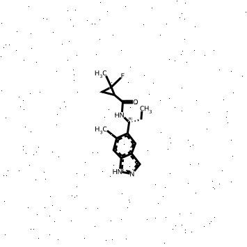 CC[C@@H](NC(=O)C1CC1(C)F)c1cc2cn[nH]c2cc1C